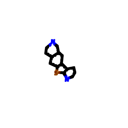 c1cnc2sc3cc4ccncc4cc3c2c1